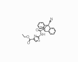 CCOC(=O)c1csc(NC(=O)C2(C)CC3(C#N)c4ccccc4C2c2ccccc23)n1